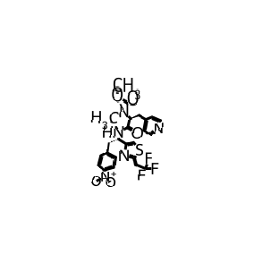 COC(=O)N(C)[C@@H](Cc1ccncc1)C(=O)N[C@@H](Cc1ccc([N+](=O)[O-])cc1)c1csc(CC(F)(F)F)n1